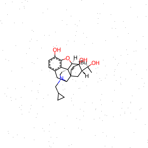 CC(C)(C)[C@@](C)(O)[C@@H]1CC23C=C[C@]1(O)[C@@H]1Oc4c(O)ccc5c4[C@@]12CCN(CC1CC1)C3C5